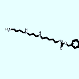 NCCCCNCCCNCCCCCNC(=O)OCc1ccccc1